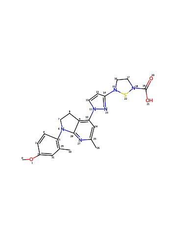 COc1ccc(N2CCc3c(-n4ccc(N5CCN(C(=O)O)S5)n4)cc(C)nc32)c(C)c1